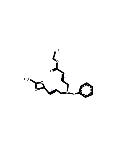 CCOC(=O)/C=C/CN(C/C=C/C1OC(C)O1)Cc1ccccc1